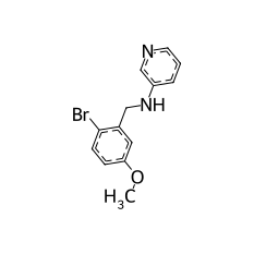 COc1ccc(Br)c(CNc2cccnc2)c1